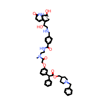 CN(CCNC(=O)c1ccc(CNC[C@H](O)c2ccc(O)c3[nH]c(=O)ccc23)cc1)C(=O)COc1cccc(C(C(=O)OCC2CCN(Cc3ccccc3)CC2)c2ccccc2)c1